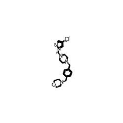 Clc1cnn([C]N2CCN(Cc3ccc(CN4CCOCC4)cc3)CC2)c1